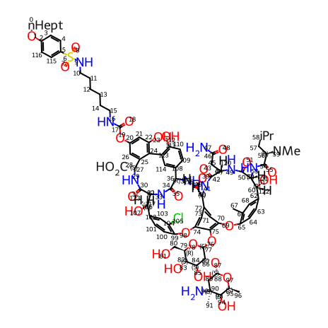 CCCCCCCOc1ccc(S(=O)(=O)NCCCCCCNC(=O)Oc2cc(O)c3c(c2)[C@@H](C(=O)O)NC(=O)[C@H]2NC(=O)[C@H](NC(=O)[C@@H]4NC(=O)[C@H](CC(N)=O)NC(=O)[C@H](NC(=O)[C@@H](CC(C)C)NC)[C@H](O)c5ccc(c(C)c5)Oc5cc4cc(c5O[C@@H]4O[C@H](CO)[C@@H](O)[C@H](O)[C@H]4O[C@H]4C[C@](C)(N)[C@H](O)[C@H](C)O4)Oc4ccc(cc4Cl)[C@H]2O)c2ccc(O)c-3c2)cc1